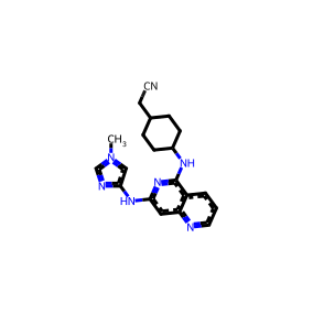 Cn1cnc(Nc2cc3ncccc3c(NC3CCC(CC#N)CC3)n2)c1